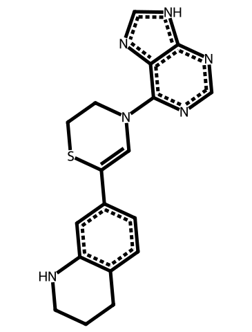 C1=C(c2ccc3c(c2)NCCC3)SCCN1c1ncnc2[nH]cnc12